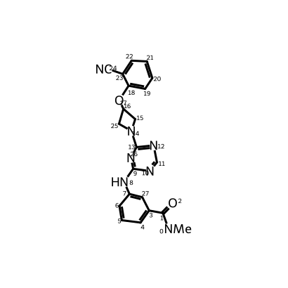 CNC(=O)c1cccc(Nc2ncnc(N3CC(Oc4ccccc4C#N)C3)n2)c1